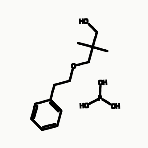 CC(C)(CO)COCCc1ccccc1.OP(O)O